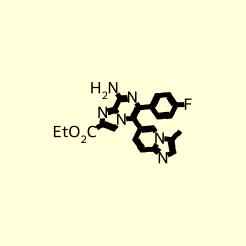 CCOC(=O)c1cn2c(-c3ccc4ncc(C)n4c3)c(-c3ccc(F)cc3)nc(N)c2n1